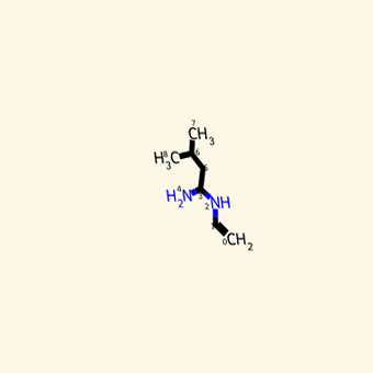 C=CNC(N)CC(C)C